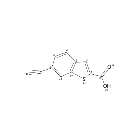 C#Cc1ccc2cc(C(=O)O)sc2c1